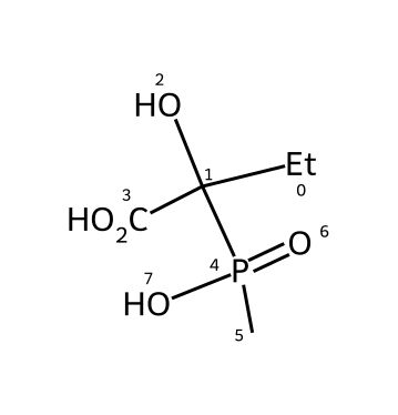 CCC(O)(C(=O)O)P(C)(=O)O